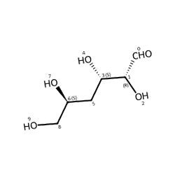 O=C[C@H](O)[C@@H](O)C[C@H](O)CO